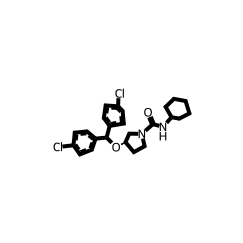 O=C(NC1CCCCC1)N1CC[C@H](OC(c2ccc(Cl)cc2)c2ccc(Cl)cc2)C1